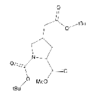 COC(=O)C1CC(CC(=O)OC(C)(C)C)CN1C(=O)OC(C)(C)C